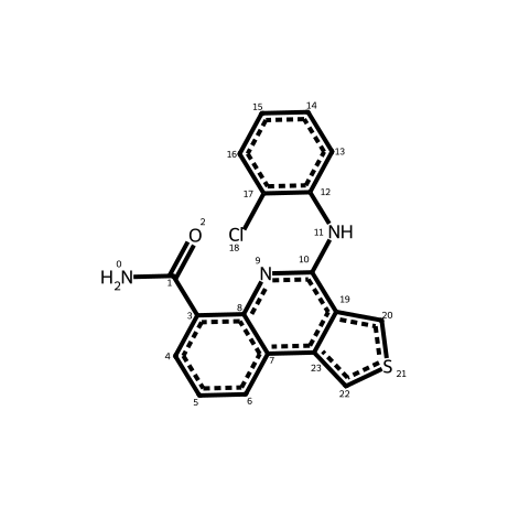 NC(=O)c1cccc2c1nc(Nc1ccccc1Cl)c1cscc12